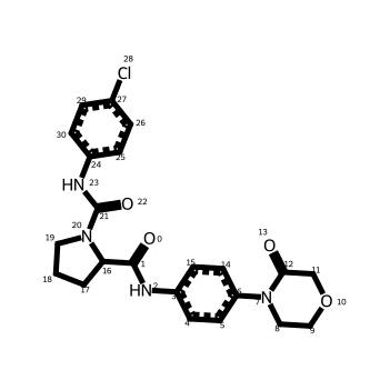 O=C(Nc1ccc(N2CCOCC2=O)cc1)C1CCCN1C(=O)Nc1ccc(Cl)cc1